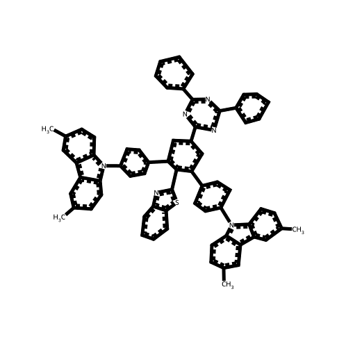 Cc1ccc2c(c1)c1cc(C)ccc1n2-c1ccc(-c2cc(-c3nc(-c4ccccc4)nc(-c4ccccc4)n3)cc(-c3ccc(-n4c5ccc(C)cc5c5cc(C)ccc54)cc3)c2-c2nc3ccccc3s2)cc1